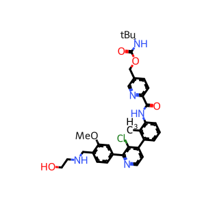 COc1cc(-c2nccc(-c3cccc(NC(=O)c4ccc(COC(=O)NC(C)(C)C)cn4)c3C)c2Cl)ccc1CNCCO